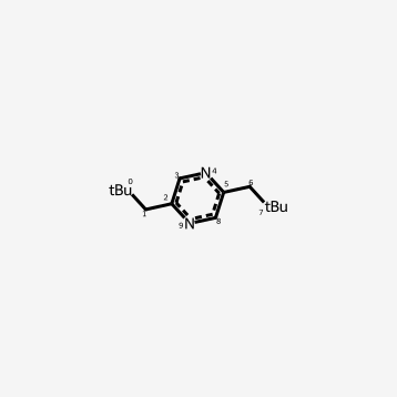 CC(C)(C)Cc1cnc(CC(C)(C)C)cn1